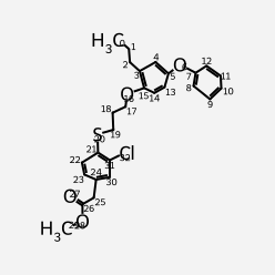 CCCc1cc(Oc2ccccc2)ccc1OCCCSc1ccc(CC(=O)OC)cc1Cl